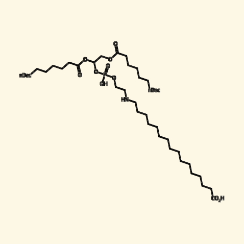 CCCCCCCCCCCCCCCC(=O)OCC(OC(=O)CCCCCCCCCCCCCCC)OP(=O)(O)OCCNCCCCCCCCCCCCCCCC(=O)O